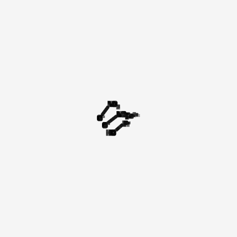 CC(C)O.O=[N+]([O-])[O-].O=[N+]([O-])[O-].[Co+2]